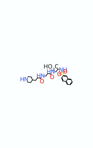 O=C(CCC1CCNCC1)NCCC(=O)NC[C@H](NS(=O)(=O)c1ccc2ccccc2c1)C(=O)O